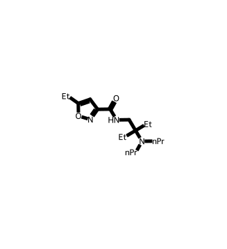 CCCN(CCC)C(CC)(CC)CNC(=O)c1cc(CC)on1